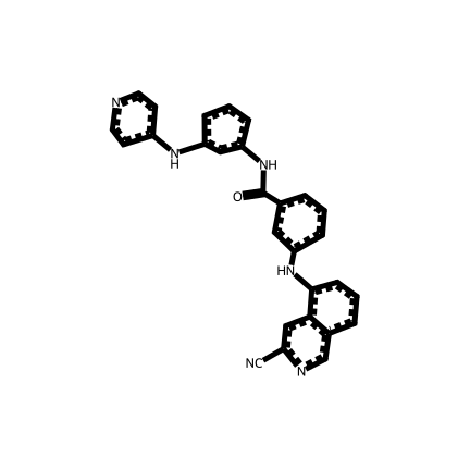 N#Cc1cc2c(Nc3cccc(C(=O)Nc4cccc(Nc5ccncc5)c4)c3)cccc2cn1